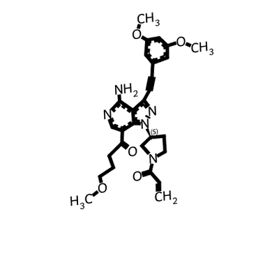 C=CC(=O)N1CC[C@H](n2nc(C#Cc3cc(OC)cc(OC)c3)c3c(N)ncc(C(=O)CCCOC)c32)C1